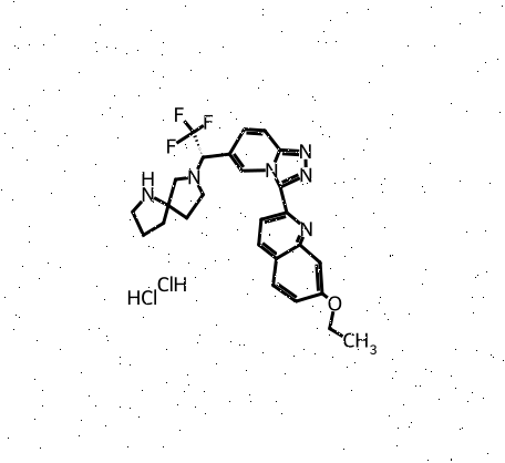 CCOc1ccc2ccc(-c3nnc4ccc([C@H](N5CCC6(CCCN6)C5)C(F)(F)F)cn34)nc2c1.Cl.Cl